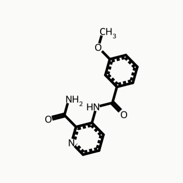 COc1cccc(C(=O)Nc2cccnc2C(N)=O)c1